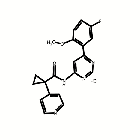 COc1ccc(F)cc1-c1cc(NC(=O)C2(c3ccncc3)CC2)ncn1.Cl